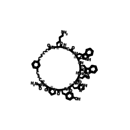 NCCCC[C@@H]1NC(=O)CCSCc2cccc(c2)CSC[C@@H](C(N)=O)NC(=O)[C@@H]2CCCN2C(=O)[C@H](Cc2ccc(O)cc2)NC(=O)[C@H](Cc2c[nH]cn2)NC(=O)[C@H](CC(=O)O)NC(=O)[C@H](Cc2c[nH]c3ccccc23)NC(=O)[C@H](Cc2c[nH]c3ccccc23)NC(=O)CNC1=O